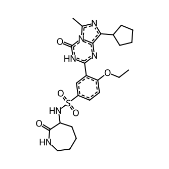 CCOc1ccc(S(=O)(=O)NC2CCCCNC2=O)cc1-c1nc2c(C3CCCC3)nc(C)n2c(=O)[nH]1